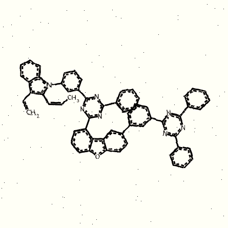 C=Cc1c(/C=C\C)n(-c2cccc(-c3nc(-c4ccccc4)nc(-c4cccc5oc6ccc(-c7cccc(-c8nc(-c9ccccc9)nc(-c9ccccc9)n8)c7)cc6c45)n3)c2)c2ccccc12